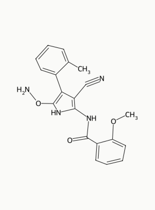 COc1ccccc1C(=O)Nc1[nH]c(ON)c(-c2ccccc2C)c1C#N